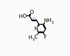 Cc1nc(/C=C/C(=O)O)c(N)cc1F